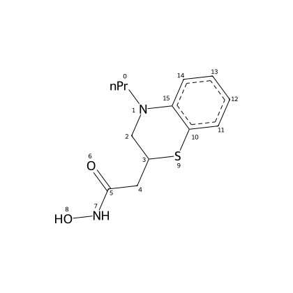 CCCN1CC(CC(=O)NO)Sc2ccccc21